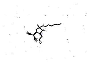 CCCCCCCC1(C)CC(=C(C#N)C#N)/C(=C\C(=O)O)C1=O